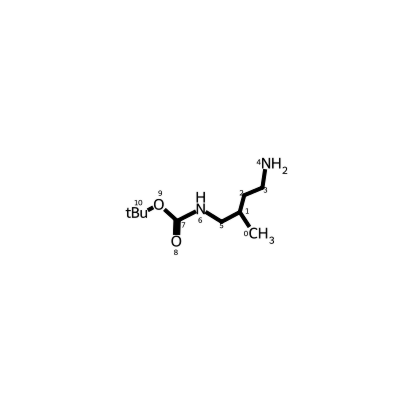 CC(CCN)CNC(=O)OC(C)(C)C